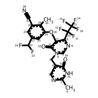 Cc1ncc(Cn2cnc(C(F)(F)C(F)(F)F)c(Oc3cc(C(F)F)cc(C#N)c3C)c2=O)c(=O)[nH]1